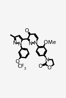 COc1cc(N2CCOC2=O)ccc1-n1ccc(=O)c(-c2cc(C)nn2-c2cccc(OC(F)(F)F)c2)n1